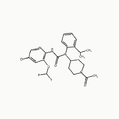 CC(=O)N1CCC(N(C(=O)Nc2ncc(Cl)cc2OC(F)F)c2ccccc2C(C)C)CC1